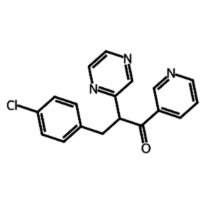 O=C(c1cccnc1)C(Cc1ccc(Cl)cc1)c1cnccn1